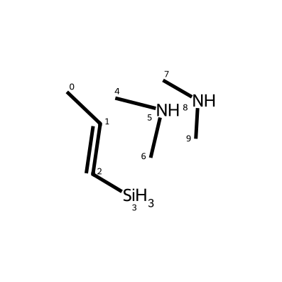 CC=C[SiH3].CNC.CNC